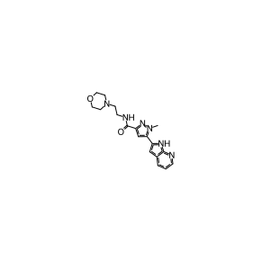 Cn1nc(C(=O)NCCN2CCOCC2)cc1-c1cc2cccnc2[nH]1